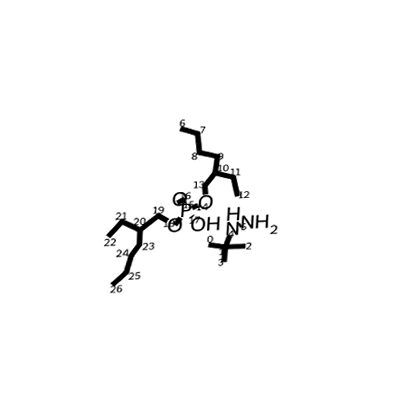 CC(C)(C)NN.CCCCC(CC)COP(=O)(O)OCC(CC)CCCC